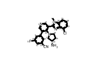 Cn1c(-c2cncc(-c3cc(F)cc(C#N)c3)c2N2CC[C@H](N)C2)nc2c(Cl)cccc21